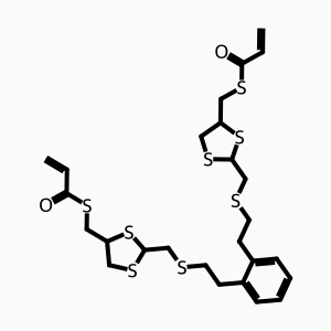 C=CC(=O)SCC1CSC(CSCCc2ccccc2CCSCC2SCC(CSC(=O)C=C)S2)S1